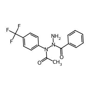 CC(=O)N(c1ccc(C(F)(F)F)cc1)N(N)C(=O)c1ccccc1